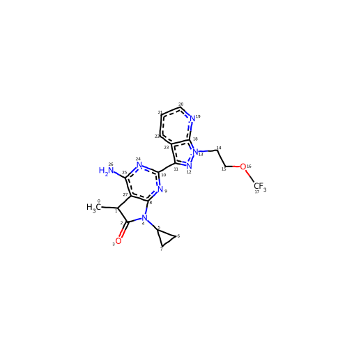 CC1C(=O)N(C2CC2)c2nc(-c3nn(CCOC(F)(F)F)c4ncccc34)nc(N)c21